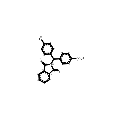 O=C(O)c1ccc(C(c2ccc(Cl)cc2)N2C(=O)c3ccccc3C2=O)cc1